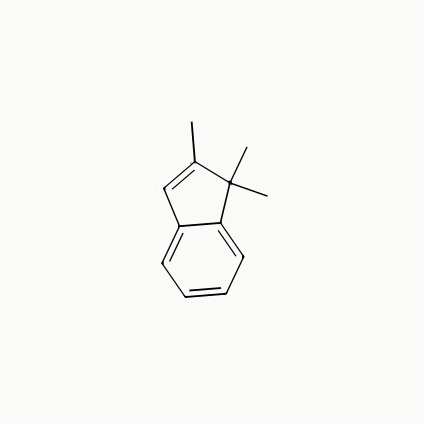 CC1=Cc2ccccc2C1(C)C